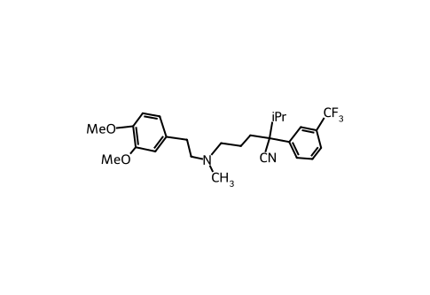 COc1ccc(CCN(C)CCCC(C#N)(c2cccc(C(F)(F)F)c2)C(C)C)cc1OC